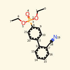 CCOP(=O)(OCC)c1ccc(-c2cc[c]cc2C#N)cc1